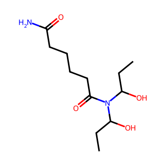 CCC(O)N(C(=O)CCCCC(N)=O)C(O)CC